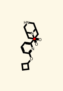 O=C1CC2CNCC(C1)N2C(=O)c1cccc(OC2CCC2)n1